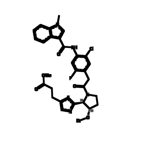 CCO[C@H]1CCN(C(=O)Cc2cc(Cl)c(NC(=O)c3cn(C)c4ccccc34)cc2F)[C@@H]1c1ncc(CCC(=O)OC)s1